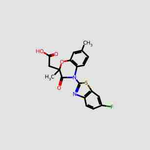 Cc1ccc2c(c1)OC(C)(CC(=O)O)C(=O)N2c1nc2ccc(F)cc2s1